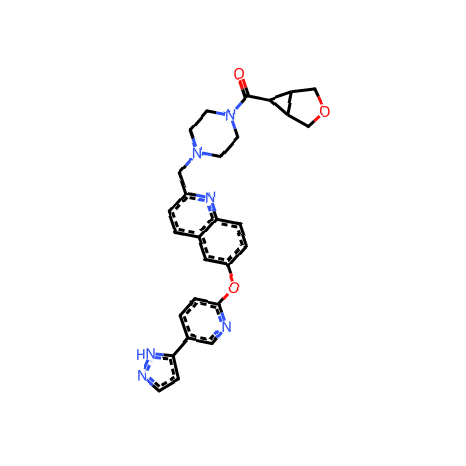 O=C(C1C2COCC21)N1CCN(Cc2ccc3cc(Oc4ccc(-c5ccn[nH]5)cn4)ccc3n2)CC1